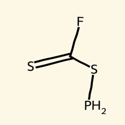 FC(=S)SP